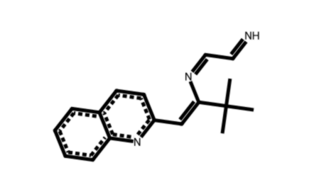 CC(C)(C)C(=C/c1ccc2ccccc2n1)/N=C\C=N